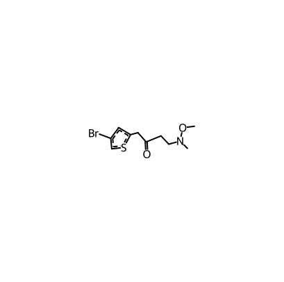 CON(C)CCC(=O)Cc1cc(Br)cs1